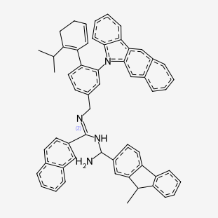 CC(C)C1=C(c2ccc(C/N=C(\NC(N)c3ccc4c(c3)C(C)c3ccccc3-4)c3ccc4ccccc4c3)cc2-n2c3ccccc3c3cc4ccccc4cc32)C=CCC1